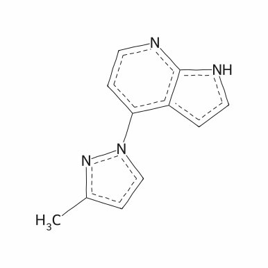 Cc1ccn(-c2ccnc3[nH]ccc23)n1